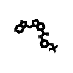 O=C(Nc1cccc(OC(F)(F)F)c1)c1ccc2c(c1)N(Cc1cnc3cnccn13)CC2